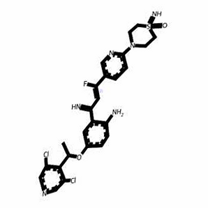 CC(Oc1ccc(N)c(C(=N)/C=C(\F)c2ccc(N3CCS(=N)(=O)CC3)nc2)c1)c1c(Cl)cncc1Cl